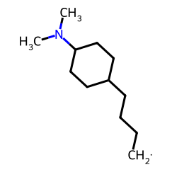 [CH2]CCCC1CCC(N(C)C)CC1